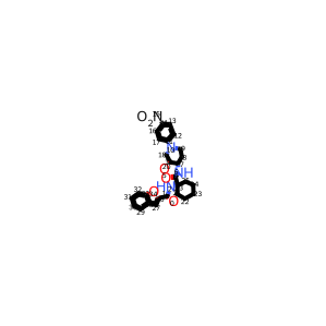 O=C(NC1(C(=O)NC2CCN(c3ccc([N+](=O)[O-])cc3)CC2=O)CCCCC1)c1cc2ccccc2o1